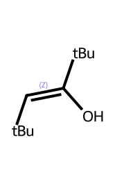 CC(C)(C)/C=C(\O)C(C)(C)C